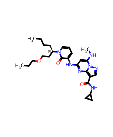 CCCC[C@H](CCOCCC)n1cccc(Nc2cc(NC)n3ncc(C(=O)NC4CC4)c3n2)c1=O